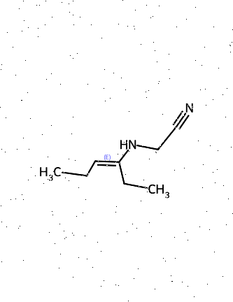 CC/C=C(\CC)NCC#N